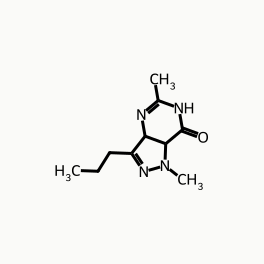 CCCC1=NN(C)C2C(=O)NC(C)=NC12